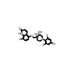 O=c1ccc2c(OC[C@]3(O)CCN(c4c(F)cc(Cl)cc4F)C[C@H]3O)ccc(F)c2[nH]1